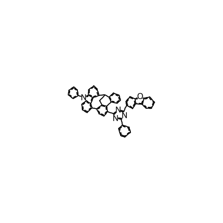 c1ccc(-c2nc(-c3ccc4oc5ccccc5c4c3)nc(-c3ccc4c5c3-c3ccccc3C(C5)c3cccc5c3c3c-4cccc3n5-c3ccccc3)n2)cc1